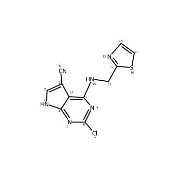 N#Cc1c[nH]c2nc(Cl)nc(NCc3nccs3)c12